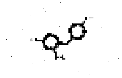 Nc1cc(O)ccc1Cc1ccc(O)cc1